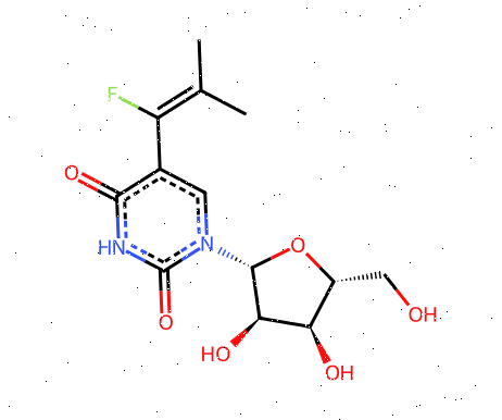 CC(C)=C(F)c1cn([C@@H]2O[C@H](CO)[C@@H](O)[C@H]2O)c(=O)[nH]c1=O